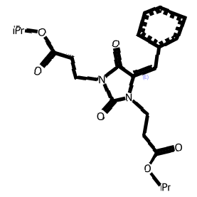 CC(C)OC(=O)CCN1C(=O)/C(=C\c2ccccc2)N(CCC(=O)OC(C)C)C1=O